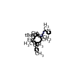 CCOC(C)OC1(C)CCC(O[Si](C)(C)C(C)(C)C)CC(=O)OC(/C(C)=C/C=C/C(C)c2ccccn2)C(C)C=CC1OC(=O)N1CCN(C)CC1